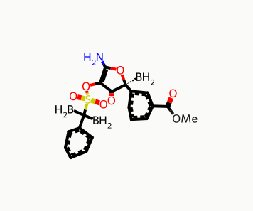 BC(B)(c1ccccc1)S(=O)(=O)OC1=C(N)O[C@@](B)(c2cccc(C(=O)OC)c2)C1=O